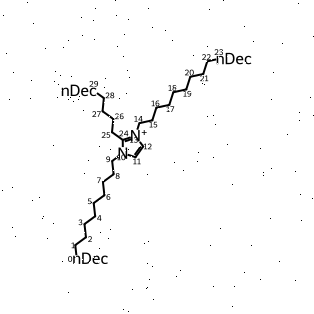 CCCCCCCCCCCCCCCCCCCn1cc[n+](CCCCCCCCCCCCCCCCCCC)c1CCCCCCCCCCCCCC